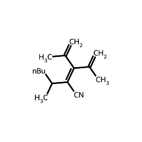 C=C(C)C(C(=C)C)=C(C#N)C(C)CCCC